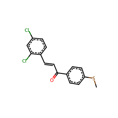 CSc1ccc(C(=O)C=Cc2ccc(Cl)cc2Cl)cc1